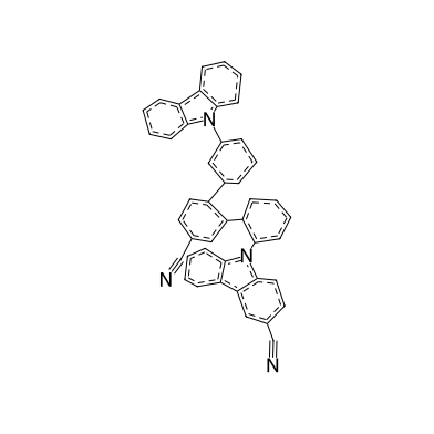 N#Cc1ccc(-c2cccc(-n3c4ccccc4c4ccccc43)c2)c(-c2ccccc2-n2c3ccccc3c3cc(C#N)ccc32)c1